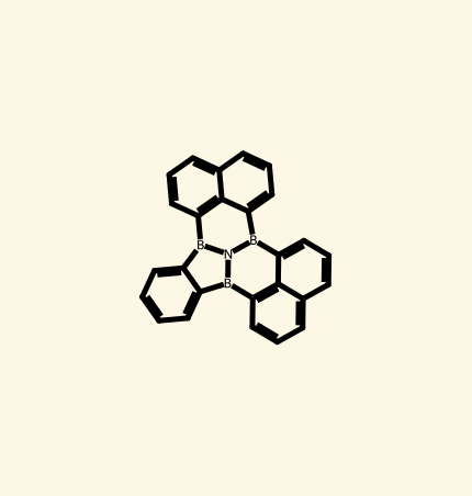 c1ccc2c(c1)B1c3cccc4cccc(c34)B3c4cccc5cccc(c45)B2N13